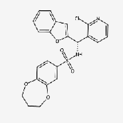 O=S(=O)(N[C@H](c1cc2ccccc2o1)c1cccnc1Cl)c1ccc2c(c1)OCCCO2